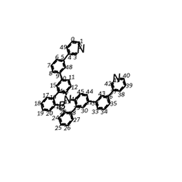 c1cncc(-c2cccc(-c3ccc4c(c3)-c3ccccc3B3c5ccccc5-c5cc(-c6cccc(-c7cccnc7)c6)ccc5N34)c2)c1